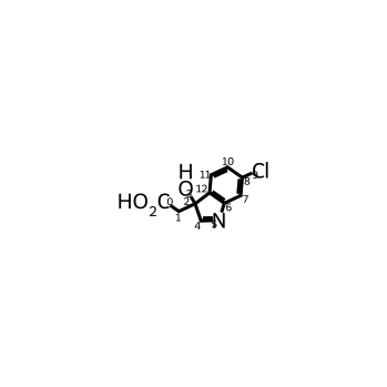 O=C(O)CC1(O)C=Nc2cc(Cl)ccc21